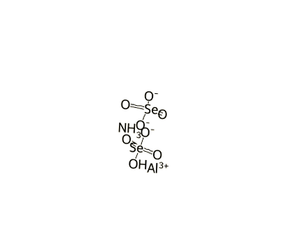 N.O=[Se](=O)([O-])O.O=[Se](=O)([O-])[O-].[Al+3]